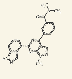 CN(C)C(=O)c1cccc(-c2nc(-c3cccc4[nH]ncc34)nc3c2cnn3C)c1